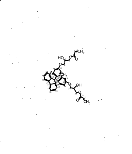 C=CC(=O)OCC(O)COc1ccc(C2(c3ccc(OCC(O)COC(=O)C=C)cc3C)c3ccccc3-c3ccccc32)c(C)c1